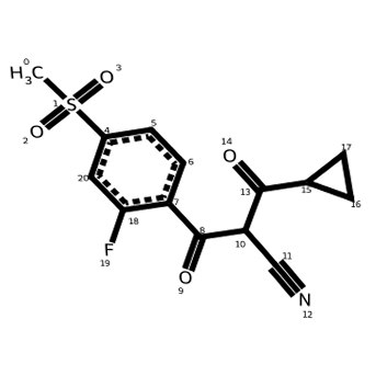 CS(=O)(=O)c1ccc(C(=O)C(C#N)C(=O)C2CC2)c(F)c1